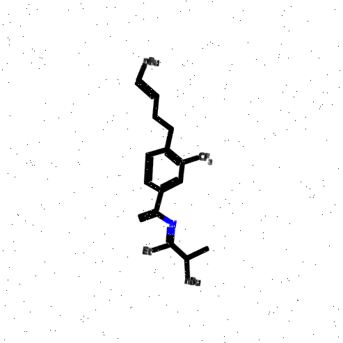 C=C(/N=C(\CC)C(C)CCCC)c1ccc(CC/C=C/CCCC)c(C(F)(F)F)c1